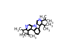 CC(C)c1ncc2c(c1C(C)C)c1cccc3c4c(C(C)C)c(C(C)C)ncc4n2c13